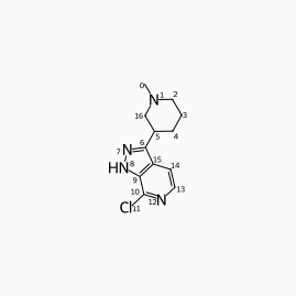 CN1CCCC(c2n[nH]c3c(Cl)nccc23)C1